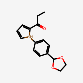 CCC(=O)C1=CC=C[SH]1c1ccc(C2OCCO2)cc1